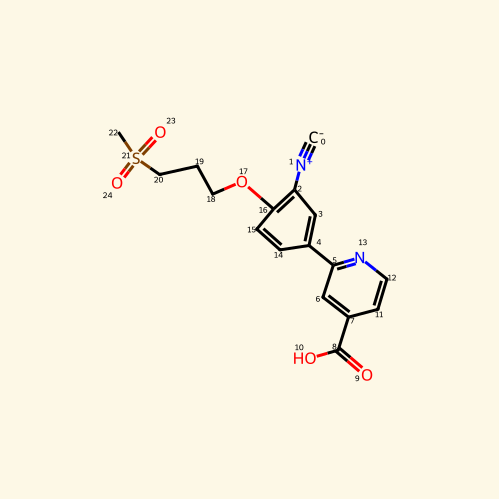 [C-]#[N+]c1cc(-c2cc(C(=O)O)ccn2)ccc1OCCCS(C)(=O)=O